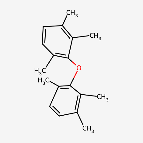 Cc1ccc(C)c(Oc2c(C)ccc(C)c2C)c1C